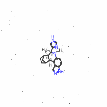 CN1c2ccc3[nH]ncc3c2[C@H]2C3CCC(C3)[C@H]2[C@]1(C)c1c[nH]cn1